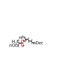 CCCCCCCCCCCCCCC(CCC)COC(=O)C(C)CCCCCCCC